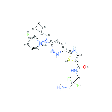 NCC(F)(F)CNC(=O)c1cnc(-c2ccc(NCC3(c4ncccc4F)CCC3)nn2)s1